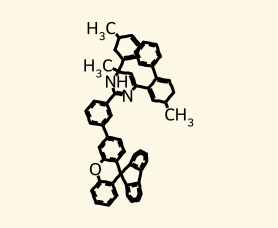 CC1C=C(C2=CC(C)(C3=CC=CC(C)C3)NC(c3cccc(-c4ccc5c(c4)Oc4ccccc4C54c5ccccc5-c5ccccc54)c3)=N2)C(c2ccccc2)=CC1